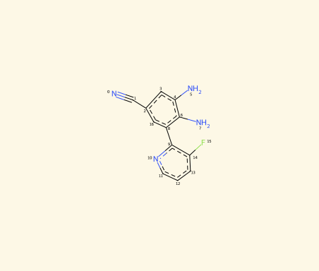 N#Cc1cc(N)c(N)c(-c2ncccc2F)c1